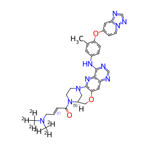 [2H]C([2H])([2H])N(C/C=C/C(=O)N1CCN2C[C@H]1COc1cc3ncnc(Nc4ccc(Oc5ccn6ncnc6c5)c(C)c4)c3nc12)C([2H])([2H])[2H]